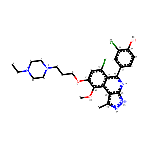 CCN1CCN(CCCOc2cc(F)c3c(-c4ccc(O)c(Cl)c4)nc4[nH]nc(C)c4c3c2OC)CC1